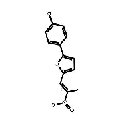 C/C(=C\c1ccc(-c2ccc(Cl)cc2)o1)[N+](=O)[O-]